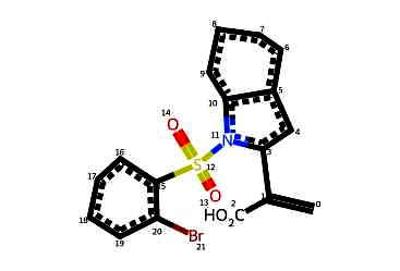 C=C(C(=O)O)c1cc2ccccc2n1S(=O)(=O)c1ccccc1Br